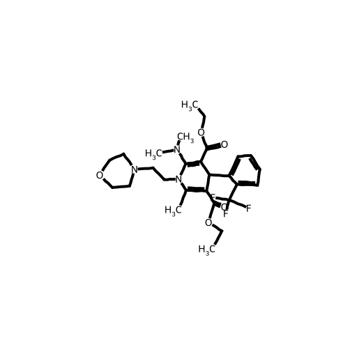 CCOC(=O)C1=C(C)N(CCN2CCOCC2)C(N(C)C)=C(C(=O)OCC)C1c1ccccc1C(F)(F)F